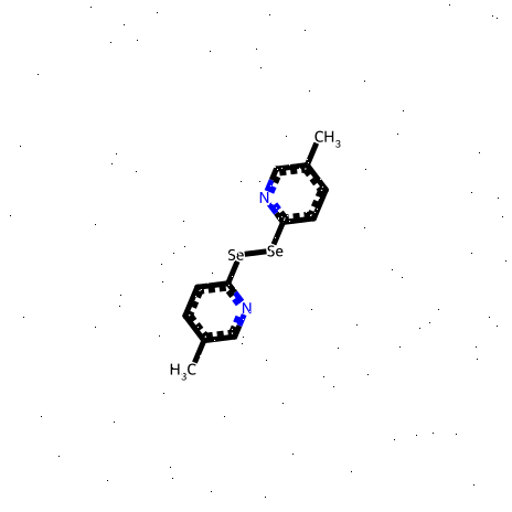 Cc1ccc([Se][Se]c2ccc(C)cn2)nc1